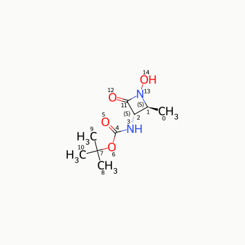 C[C@H]1[C@H](NC(=O)OC(C)(C)C)C(=O)N1O